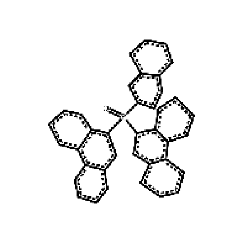 O=P(c1ccc2ccccc2c1)(c1cc2ccccc2c2ccccc12)c1cc2ccccc2c2ccccc12